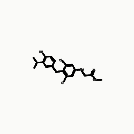 CNC(=O)CNc1cc(Cl)c(Cc2ccc(O)c(C(C)C)c2)c(Cl)c1